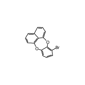 Brc1cccc2c1Oc1cccc3cccc(c13)O2